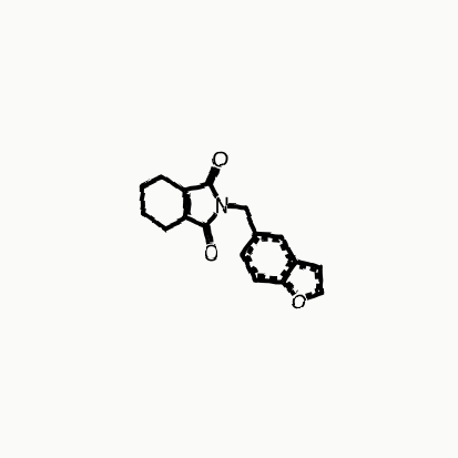 O=C1C2=C(CCCC2)C(=O)N1Cc1ccc2occc2c1